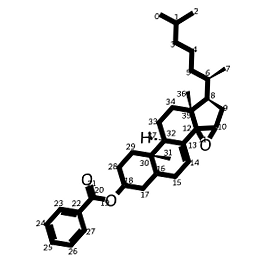 CC(C)CCC[C@@H](C)[C@H]1CC2OC23C2=CCC4CC(OC(=O)c5ccccc5)CC[C@]4(C)[C@H]2CC[C@]13C